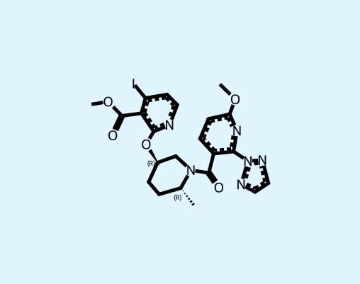 COC(=O)c1c(I)ccnc1O[C@@H]1CC[C@@H](C)N(C(=O)c2ccc(OC)nc2-n2nccn2)C1